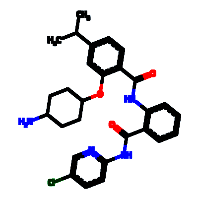 CC(C)c1ccc(C(=O)Nc2ccccc2C(=O)Nc2ccc(Cl)cn2)c(OC2CCC(N)CC2)c1